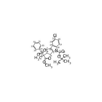 COC(=O)C(C)(C1Cc2c(n(C(=O)OC(C)(C)C)c3ccc(Cl)cc23)C1)S(=O)(=O)c1ccccc1